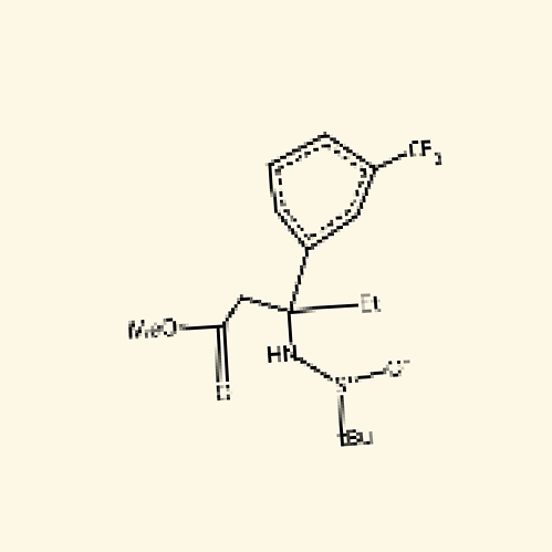 CCC(CC(=O)OC)(N[S+]([O-])C(C)(C)C)c1cccc(C(F)(F)F)c1